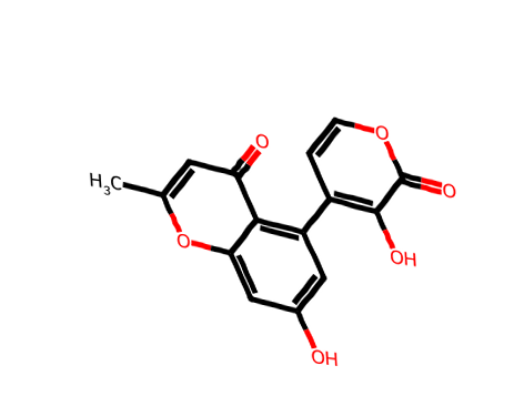 Cc1cc(=O)c2c(-c3ccoc(=O)c3O)cc(O)cc2o1